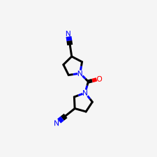 N#CC1CCN(C(=O)N2CCC(C#N)C2)C1